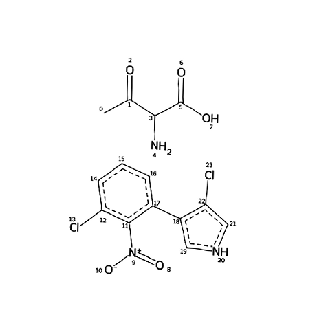 CC(=O)C(N)C(=O)O.O=[N+]([O-])c1c(Cl)cccc1-c1c[nH]cc1Cl